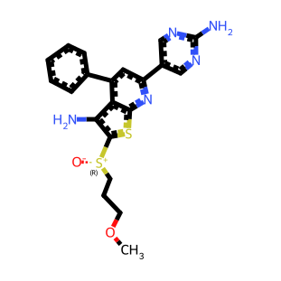 COCCC[S@+]([O-])c1sc2nc(-c3cnc(N)nc3)cc(-c3ccccc3)c2c1N